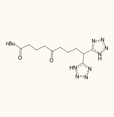 CCCCC(=O)CCCC(=O)CCCC(c1nnn[nH]1)c1nnn[nH]1